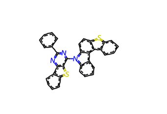 c1ccc(-c2nc(-n3c4ccccc4c4c5c(ccc43)sc3ccccc35)c3sc4ccccc4c3n2)cc1